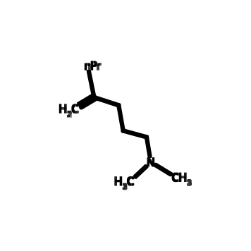 C=C(CCC)CCCN(C)C